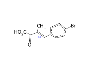 C/C(=C\c1ccc(Br)cc1)C(=O)C(=O)O